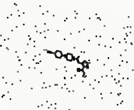 C#CC1CCC(N2CCN(/C(C)=C/c3ccsc3C(=O)CC)CC2)CC1